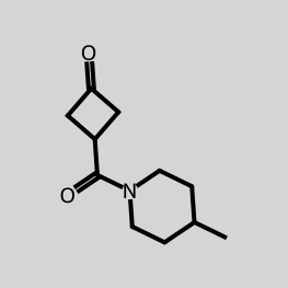 CC1CCN(C(=O)C2CC(=O)C2)CC1